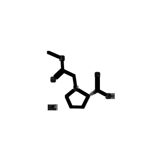 COC(=O)CN1CCC[C@H]1C(=O)O.Cl